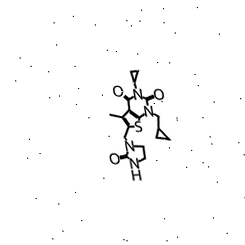 Cc1c(CN2CCNC2=O)sc2c1c(=O)n(C1CC1)c(=O)n2CC1CC1